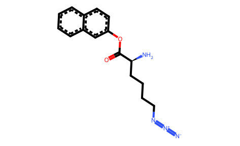 [N-]=[N+]=NCCCC[C@H](N)C(=O)Oc1ccc2ccccc2c1